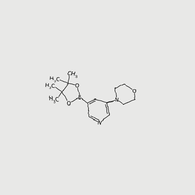 CC1(C)OB(c2cncc(N3CCOCC3)c2)OC1(C)C